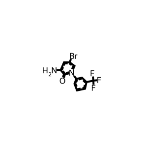 Nc1cc(Br)cn(-c2cccc(C(F)(F)F)c2)c1=O